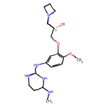 CNC1CCNC(Nc2ccc(OC)c(OC[C@@H](O)CN3CCC3)c2)N1